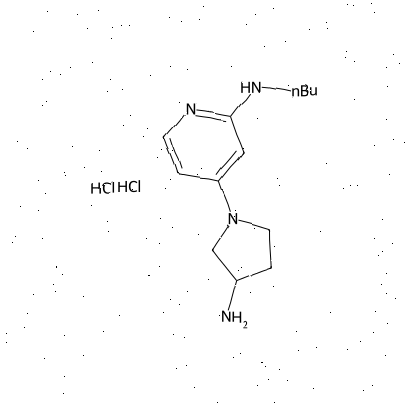 CCCCNc1cc(N2CCC(N)C2)ccn1.Cl.Cl